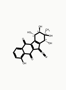 C[C@]1(O)[C@H](O)c2c(c3c(=O)c4cccc(O)c4c(=O)c=3c2=[N+]=[N-])[C@H](O)[C@H]1O